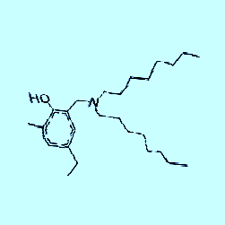 CCCCCCCCN(CCCCCCCC)Cc1cc(CC)cc(C)c1O